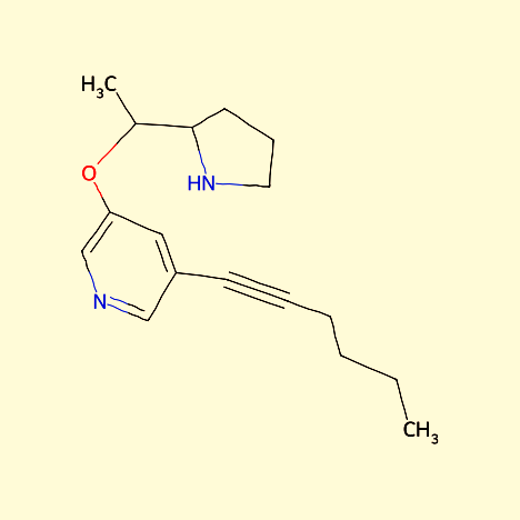 CCCCC#Cc1cncc(OC(C)C2CCCN2)c1